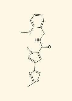 COc1ccccc1CNC(=O)c1cc(-c2csc(C)n2)cn1C